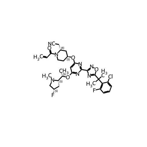 C=CC(=O)N1CC[C@H](Oc2cc(O[C@@H](C)[C@@H]3C[C@H](F)CN3C)nc(-c3noc(C(C)(C)c4c(F)cccc4Cl)n3)n2)C[C@H]1CC#N